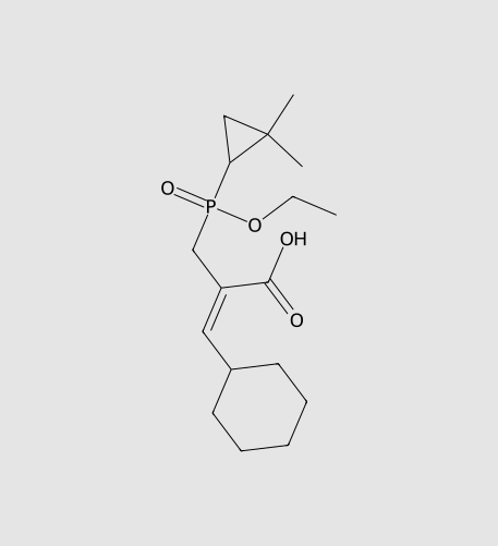 CCOP(=O)(C/C(=C/C1CCCCC1)C(=O)O)C1CC1(C)C